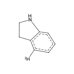 [2H]c1cccc2c1CCN2